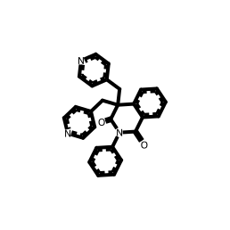 O=C1c2ccccc2C(Cc2ccncc2)(Cc2ccncc2)C(=O)N1c1ccccc1